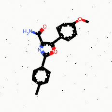 COc1ccc(-c2oc(-c3ccc(C)cc3)nc2C(N)=O)cc1